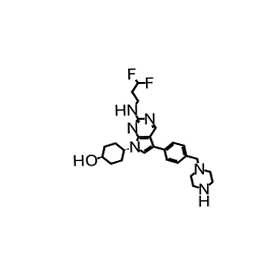 O[C@H]1CC[C@H](n2cc(-c3ccc(CN4CCNCC4)cc3)c3cnc(NCCC(F)F)nc32)CC1